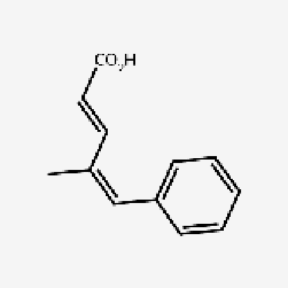 CC(C=CC(=O)O)=Cc1ccccc1